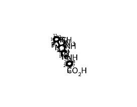 Cc1n[nH]c2c1C(c1c(F)cccc1F)=NCc1cnc(Nc3ccc(C(=O)O)cc3)nc1-2